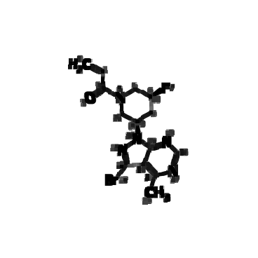 C=CC(=O)N1C[C@@H](F)C[C@@H](n2nc(Br)c3c(C)ncnc32)C1